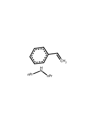 C=Cc1ccccc1.CCCNCCC